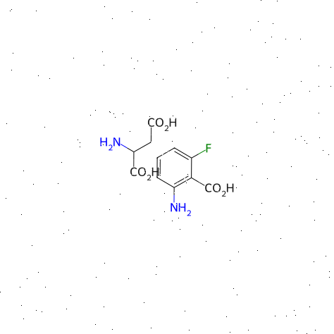 NC(CC(=O)O)C(=O)O.Nc1cccc(F)c1C(=O)O